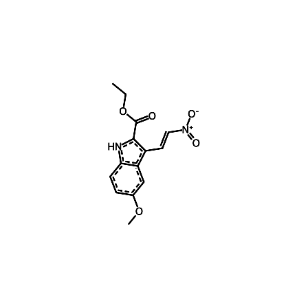 CCOC(=O)c1[nH]c2ccc(OC)cc2c1C=C[N+](=O)[O-]